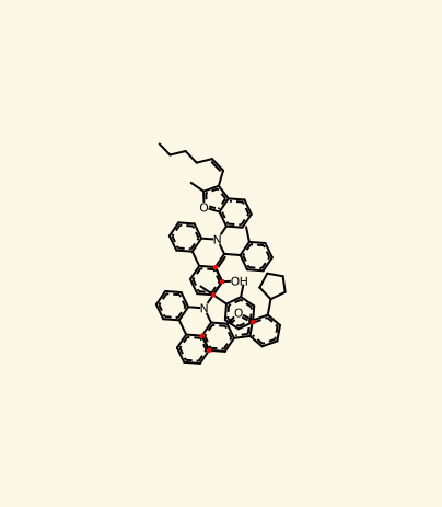 CCCC/C=C\c1c(C)oc2c(N(/C(=C/C(O)C(C)(c3ccccc3C)N(c3ccccc3-c3ccccc3)c3cccc4c3oc3c(C5CCCC5)cccc34)c3ccccc3C)c3ccccc3-c3ccccc3)cccc12